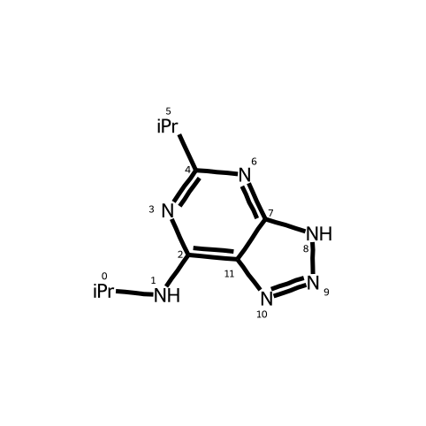 CC(C)Nc1nc(C(C)C)nc2[nH]nnc12